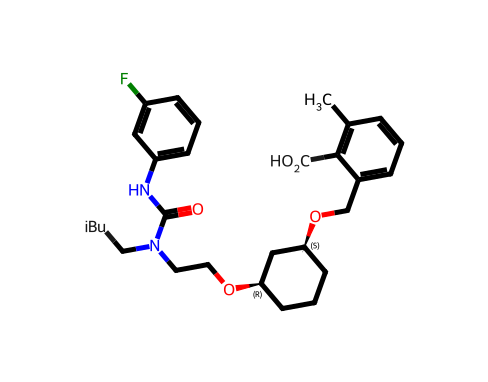 CCC(C)CN(CCO[C@@H]1CCC[C@H](OCc2cccc(C)c2C(=O)O)C1)C(=O)Nc1cccc(F)c1